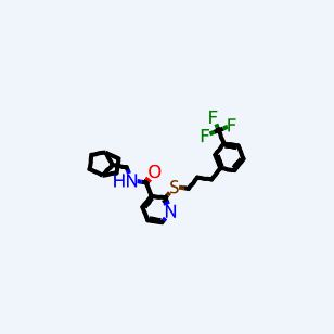 O=C(NCC1C2CCC1CC2)c1cccnc1SCCCc1cccc(C(F)(F)F)c1